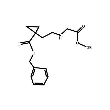 CC(C)(C)OC(=O)CNCCC1(C(=O)OCc2ccccc2)CC1